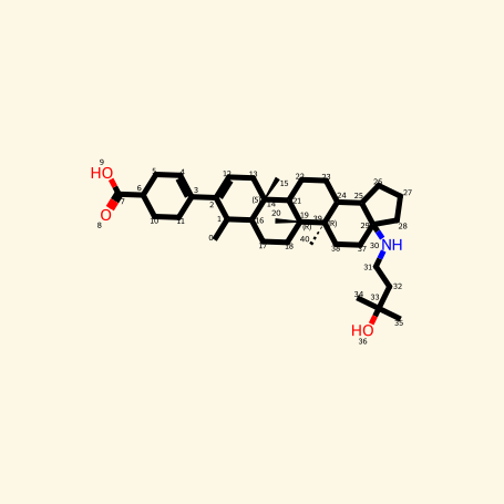 CC1C(C2=CCC(C(=O)O)CC2)=CC[C@@]2(C)C1CC[C@]1(C)C2CCC2C3CCCC3(NCCC(C)(C)O)CC[C@]21C